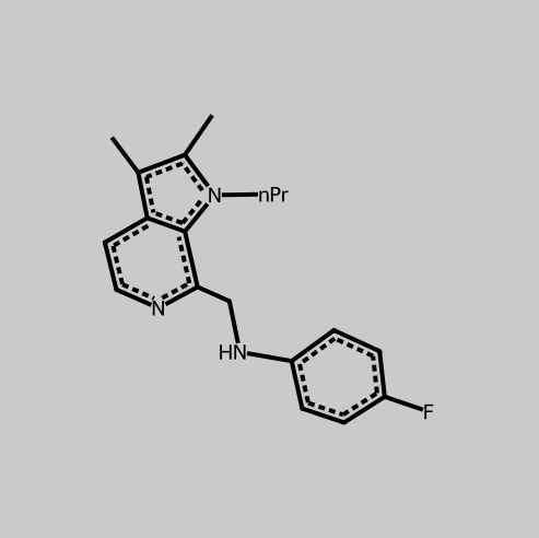 CCCn1c(C)c(C)c2ccnc(CNc3ccc(F)cc3)c21